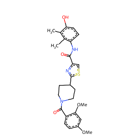 COc1ccc(C(=O)N2CCC(c3nc(C(=O)Nc4ccc(O)c(C)c4C)cs3)CC2)c(OC)c1